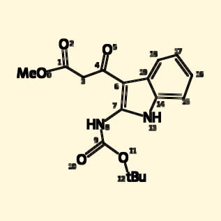 COC(=O)CC(=O)c1c(NC(=O)OC(C)(C)C)[nH]c2ccccc12